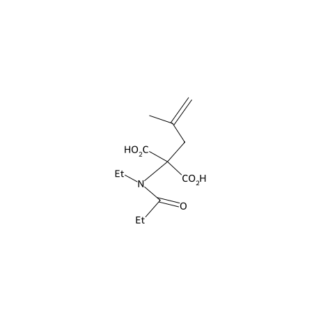 C=C(C)CC(C(=O)O)(C(=O)O)N(CC)C(=O)CC